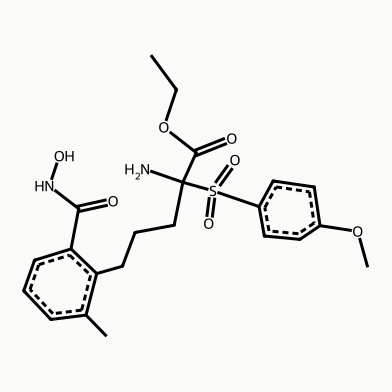 CCOC(=O)C(N)(CCCc1c(C)cccc1C(=O)NO)S(=O)(=O)c1ccc(OC)cc1